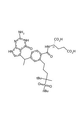 CCCCS(=O)(=O)C(C)(CCCc1cc(C(C)c2c[nH]c3nc(N)[nH]c(=O)c23)ccc1C(=O)N[C@@H](CCC(=O)O)C(=O)O)C(C)(C)C